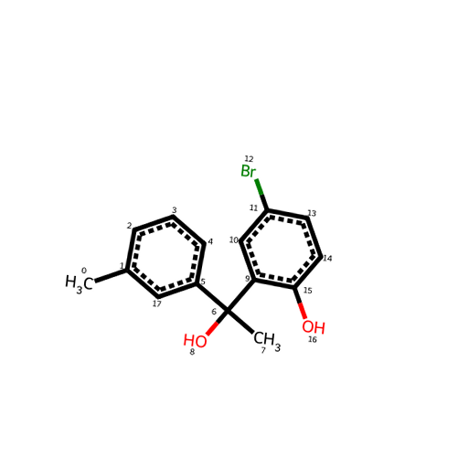 Cc1cccc(C(C)(O)c2cc(Br)ccc2O)c1